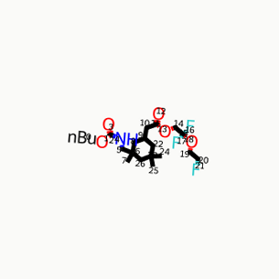 CCCCOC(=O)NCC1(C)CC(CC(=O)OCC(F)(F)OCCF)CC(C)(C)C1